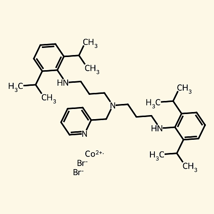 CC(C)c1cccc(C(C)C)c1NCCCN(CCCNc1c(C(C)C)cccc1C(C)C)Cc1ccccn1.[Br-].[Br-].[Co+2]